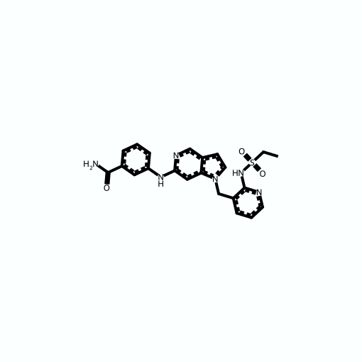 CCS(=O)(=O)Nc1ncccc1Cn1ccc2cnc(Nc3cccc(C(N)=O)c3)cc21